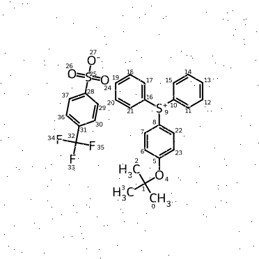 CC(C)(C)Oc1ccc([S+](c2ccccc2)c2ccccc2)cc1.O=S(=O)([O-])c1ccc(C(F)(F)F)cc1